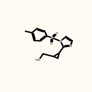 Cc1ccc(S(=O)(=O)n2ccnc2C2CC2CO)cc1